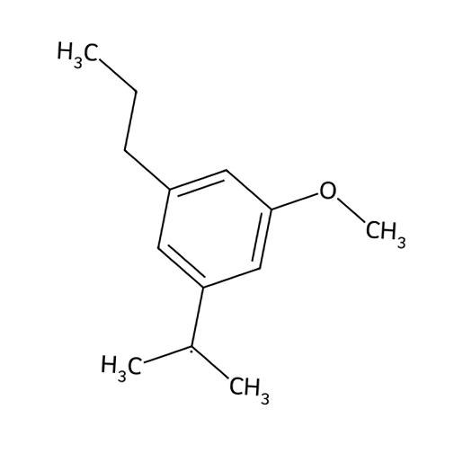 CCCc1cc(OC)cc([C](C)C)c1